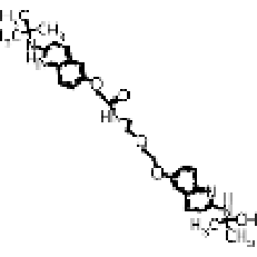 CC(C)(C)Nc1ccc2cc(OCCOCCNC(=O)COc3ccc4nc(NC(C)(C)C)ccc4c3)ccc2n1